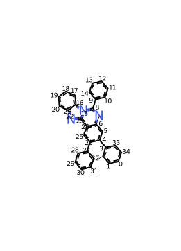 c1ccc(-c2cc3nc(-c4ccccc4)n4c5ccccc5nc4c3cc2-c2ccccc2)cc1